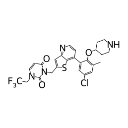 Cc1cc(Cl)cc(-c2ccnc3cc(Cn4c(=O)ccn(CC(F)(F)F)c4=O)sc23)c1OC1CCNCC1